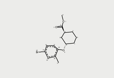 COC(=O)[C@H]1CCC[C@H](Oc2ccc(Br)nc2C)C1